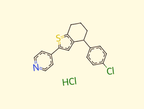 Cl.Clc1ccc(C2CCCc3sc(-c4ccncc4)cc32)cc1